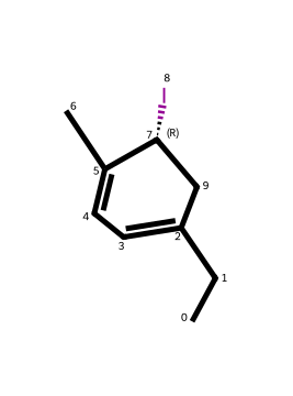 CCC1=CC=C(C)[C@H](I)C1